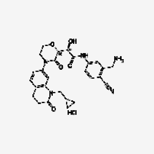 Cl.N#Cc1ccc(NC(=O)[C@H](O)[C@H]2OCCN(c3ccc4c(c3)N(CC3CC3)C(=O)CC4)C2=O)cc1CN